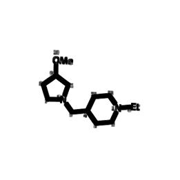 CCN1CCC(CN2CCC(OC)C2)CC1